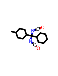 CC1CCC(C(N=C=O)(N=C=O)C2CCCCC2)CC1